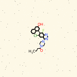 CCCC(=O)N1CCN(c2ncnc3c(F)c(-c4cc(O)cc5ccccc45)c(Cl)cc23)CC1